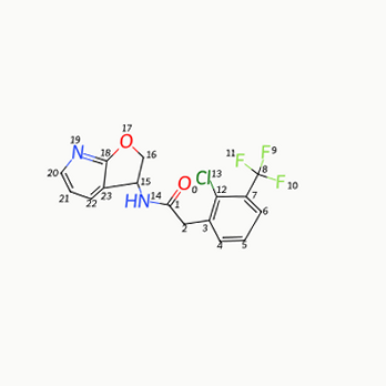 O=C(Cc1cccc(C(F)(F)F)c1Cl)NC1COc2ncccc21